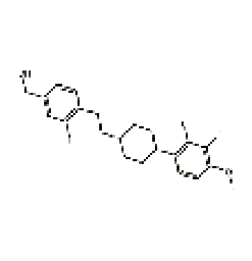 COc1ccc(C2CCC(CCc3ccc(CO)cc3F)CC2)c(F)c1F